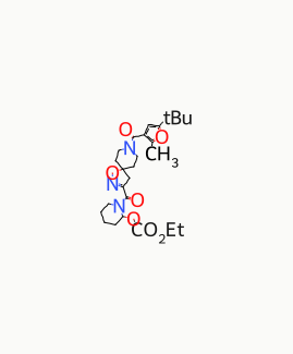 CCOC(=O)OC1CCCCN1C(=O)C1=NOC2(CCN(C(=O)c3cc(C(C)(C)C)oc3C)CC2)C1